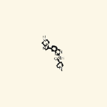 CN1CCC(C(=O)Nc2ncc3ccc(-c4cnc5n4CCNC5)cc3n2)CC1